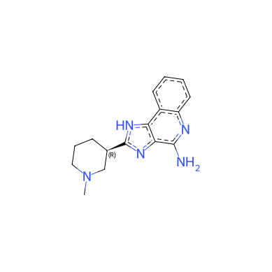 CN1CCC[C@@H](c2nc3c(N)nc4ccccc4c3[nH]2)C1